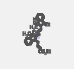 CCOC(=O)/C=C/CN1/C(=C/C=C/C2N(CC)c3ccccc3C2(C)C)C(C)(C)c2ccccc21